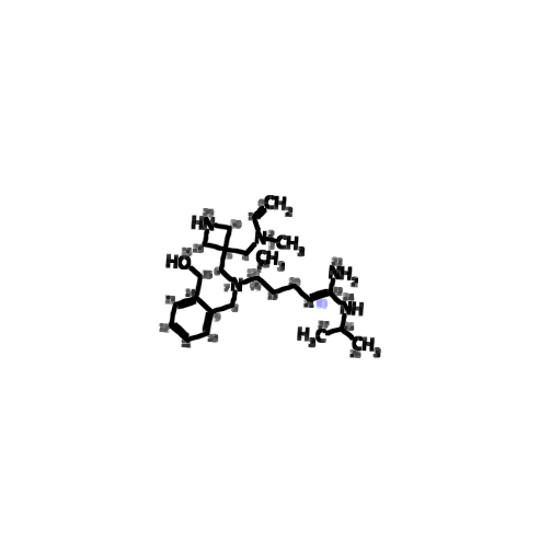 C=CN(C)CC1(CN(Cc2ccccc2CO)[C@H](C)CC/C=C(\N)NC(C)C)CNC1